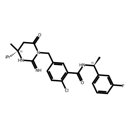 CC(C)[C@]1(C)CC(=O)N(Cc2ccc(Cl)c(C(=O)N[C@@H](C)c3cccc(F)c3)c2)C(=N)N1